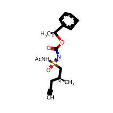 C#CC[C@H](C)CS(=O)(=NC(=O)O[C@@H](C)c1ccccc1)NC(C)=O